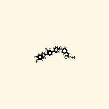 Cc1cc2nc(-c3ccc(-c4cnc(OC5CCC(CC(=O)O)CC5)nc4)cc3F)[nH]c2cc1F